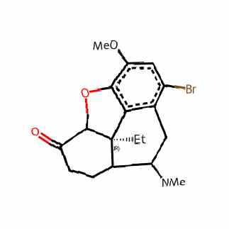 CC[C@@]12c3c4c(Br)cc(OC)c3OC1C(=O)CCC2C(NC)C4